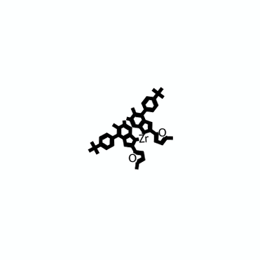 Cc1ccc(C2=Cc3c(cc(C)c(C)c3-c3ccc(C(C)(C)C)cc3)[CH]2[Zr][CH]2C(c3ccc(C)o3)=Cc3c2cc(C)c(C)c3-c2ccc(C(C)(C)C)cc2)o1